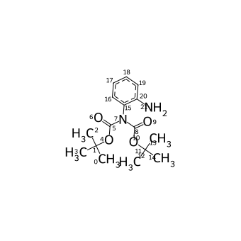 CC(C)(C)OC(=O)N(C(=O)OC(C)(C)C)c1ccccc1N